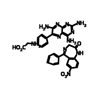 NCC(=O)O.Nc1nc(N)c2nc(-c3ccccc3)c(N)nc2n1.O=C1CN=C(c2ccccc2)c2cc([N+](=O)[O-])ccc2N1